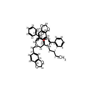 CCCCn1c(-c2ccccc2)nc(S(=O)(=O)c2ccccc2)c1CN(Cc1ccc2c(c1)OCO2)Cc1ccc2c(c1)OCO2